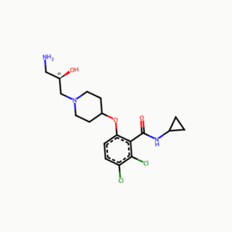 NC[C@@H](O)CN1CCC(Oc2ccc(Cl)c(Cl)c2C(=O)NC2CC2)CC1